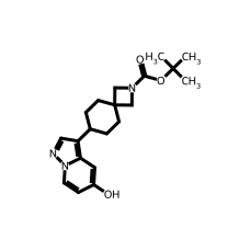 CC(C)(C)OC(=O)N1CC2(CCC(c3cnn4ccc(O)cc34)CC2)C1